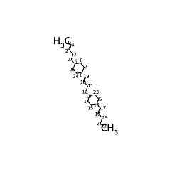 C/C=C/CC[C@H]1CC[C@H](/C=C/CC[C@H]2CC[C@H](/C=C/CCC)CC2)CC1